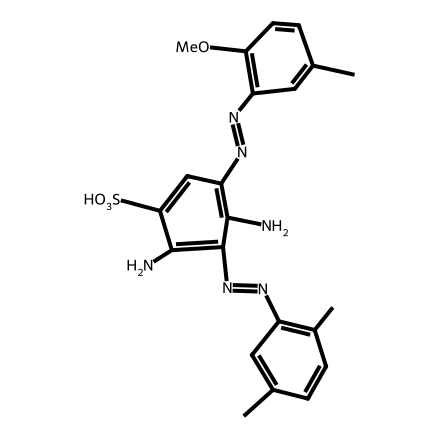 COc1ccc(C)cc1/N=N/c1cc(S(=O)(=O)O)c(N)c(/N=N/c2cc(C)ccc2C)c1N